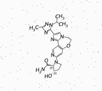 Cc1nc(-c2cn3c(n2)-c2cnc(N4CC[C@H](O)[C@H]4C(N)=O)cc2OCC3)n(C(C)C)n1